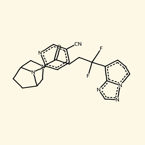 N#Cc1ccc(N2C3CCC2CN(C(=O)CCC(F)(F)c2cccn4ncnc24)C3)nc1